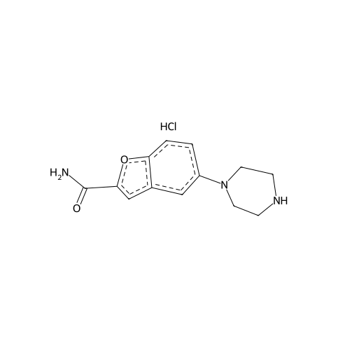 Cl.NC(=O)c1cc2cc(N3CCNCC3)ccc2o1